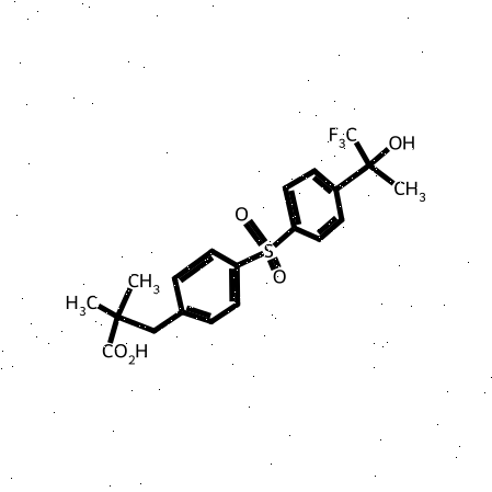 CC(C)(Cc1ccc(S(=O)(=O)c2ccc(C(C)(O)C(F)(F)F)cc2)cc1)C(=O)O